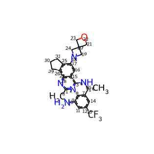 Cc1nc(N[C@H](C)c2cc(N)cc(C(F)(F)F)c2)c2cc(N3CC4(COC4)C3)c3c(c2n1)CCC3